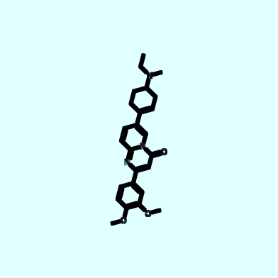 CCN(C)C1CC=C(c2ccc3nc(-c4ccc(OC)c(OC)c4)cc(=O)n3c2)CC1